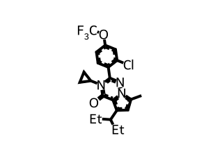 CCC(CC)c1cc(C)n2nc(-c3ccc(OC(F)(F)F)cc3Cl)n(C3CC3)c(=O)c12